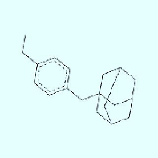 CCc1ccc(CC23CC4CC(CC(C4)C2)C3)cc1